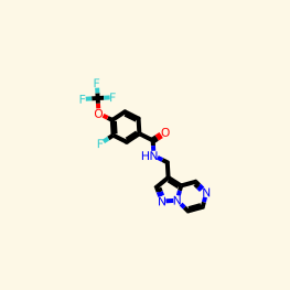 O=C(NCc1cnn2ccncc12)c1ccc(OC(F)(F)F)c(F)c1